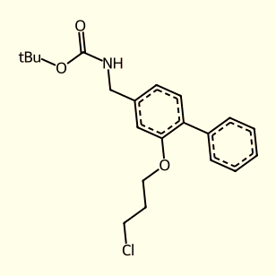 CC(C)(C)OC(=O)NCc1ccc(-c2ccccc2)c(OCCCCl)c1